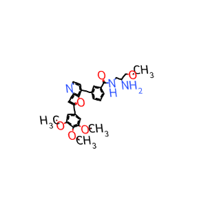 COC[C@H](N)CNC(=O)c1cccc(-c2ccnc3cc(-c4cc(OC)c(OC)c(OC)c4)oc23)c1